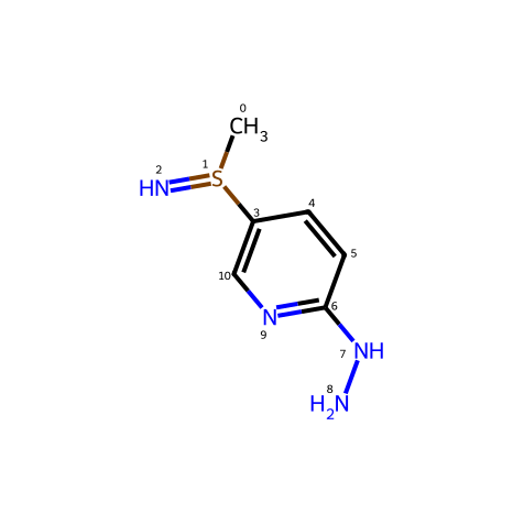 CS(=N)c1ccc(NN)nc1